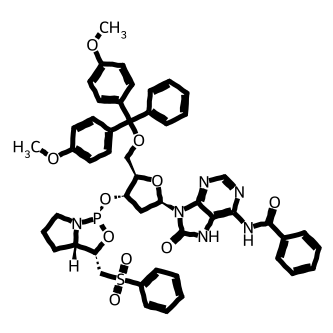 COc1ccc(C(OC[C@H]2O[C@@H](n3c(=O)[nH]c4c(NC(=O)c5ccccc5)ncnc43)C[C@@H]2O[P@]2O[C@H](CS(=O)(=O)c3ccccc3)[C@@H]3CCCN32)(c2ccccc2)c2ccc(OC)cc2)cc1